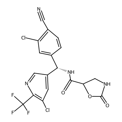 N#Cc1ccc([C@H](NC(=O)C2CNC(=O)O2)c2cnc(C(F)(F)F)c(Cl)c2)cc1Cl